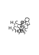 CCC1=Cc2ccccc2[CH]1[Zr]([F])([F])[C]1(CC)C(C)=C(C)C(C)=C1C